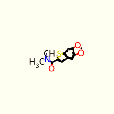 CN(C)C(=O)c1cc2cc3c(cc2s1)OCO3